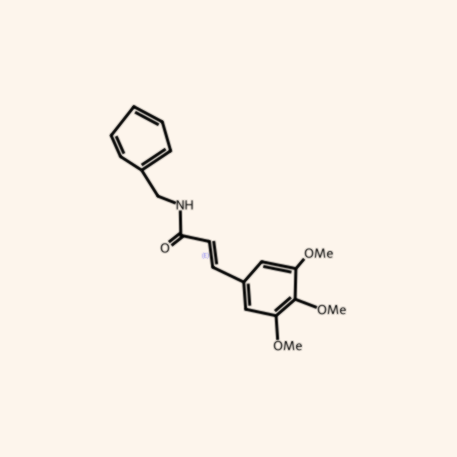 COc1cc(/C=C/C(=O)NCc2ccccc2)cc(OC)c1OC